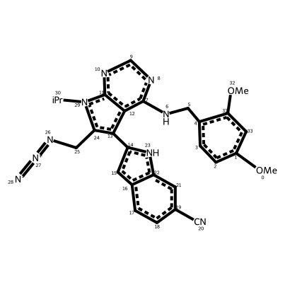 COc1ccc(CNc2ncnc3c2c(-c2cc4ccc(C#N)cc4[nH]2)c(CN=[N+]=[N-])n3C(C)C)c(OC)c1